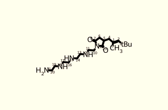 C/C(=C\C(C)(C)C)CC1CC(=O)N(CCNCCNCCNCCN)C1=O